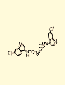 CN(COCNc1ccnc2cc(Cl)ccc12)COCNc1ccnc2cc(Cl)ccc12